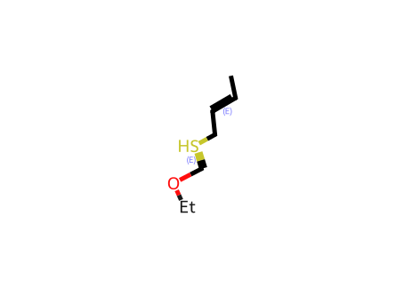 C/C=C/C/[SH]=C/OCC